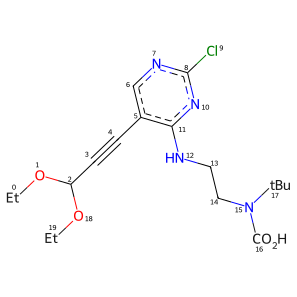 CCOC(C#Cc1cnc(Cl)nc1NCCN(C(=O)O)C(C)(C)C)OCC